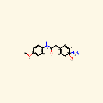 COc1ccc(NC(=O)CC2=CCC(N)(O)C=C2)cc1